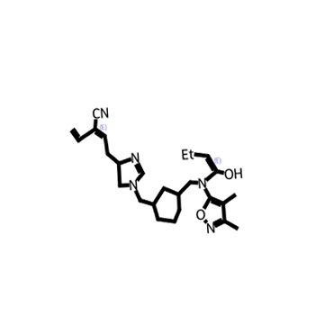 C=C/C(C#N)=C\CC1CN(CC2CCCC(CN(/C(O)=C\CC)c3onc(C)c3C)C2)C=N1